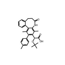 Cc1ccc(-c2c(C)c3c(c(C)c2[C@H](OC(C)(C)C)C(=O)O)NC(=O)CCc2ccccc2-3)cc1